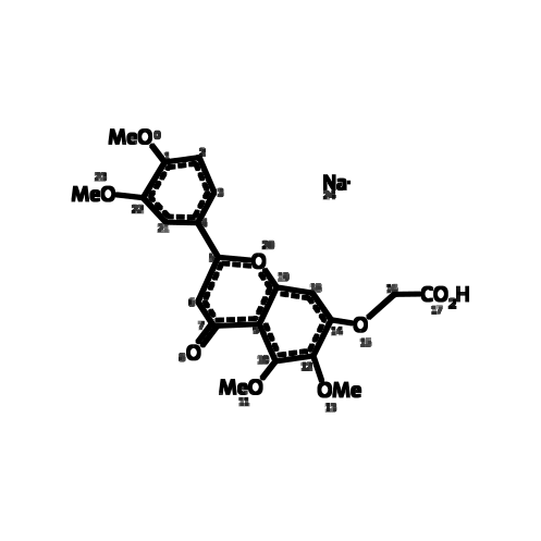 COc1ccc(-c2cc(=O)c3c(OC)c(OC)c(OCC(=O)O)cc3o2)cc1OC.[Na]